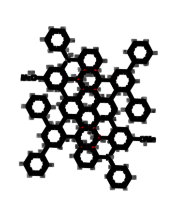 COc1cc2c3c(c1)N(c1ccccc1)c1ccccc1B3c1cc3c(-c4c(-c5ccccc5)cc(-c5ccccc5)cc4-c4ccccc4)cc4c5c(cc6c(-c7c(-c8ccccc8)cc(-c8ccccc8)cc7-c7ccccc7)cc-2c1c6c35)B1c2ccccc2N(c2ccccc2)c2cc(OC)cc-4c21